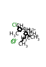 CCCCCC1=C(C(C)(C)C)[C]([Ti+3])=C([SiH2]c2cc(C)cc(C)c2)C1.[Cl-].[Cl-].[Cl-]